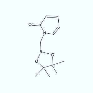 CC1(C)OB(Cn2ccccc2=O)OC1(C)C